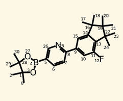 CC1(C)OB(c2ccc(-c3cc(F)c4c(c3)C(C)(C)C(C)(C)C4(C)C)nc2)OC1(C)C